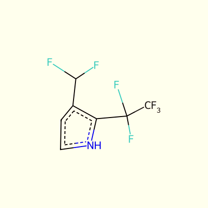 FC(F)c1cc[nH]c1C(F)(F)C(F)(F)F